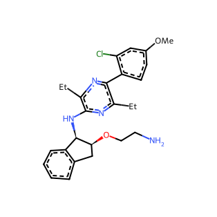 CCc1nc(-c2ccc(OC)cc2Cl)c(CC)nc1N[C@@H]1c2ccccc2C[C@@H]1OCCN